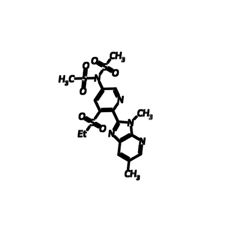 CCS(=O)(=O)c1cc(N(S(C)(=O)=O)S(C)(=O)=O)cnc1-c1nc2cc(C)cnc2n1C